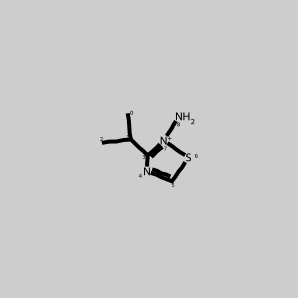 CC(C)c1ncs[n+]1N